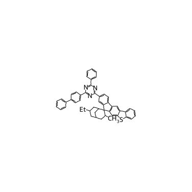 CCC1CC2CC(C)C3(c4cc(-c5nc(-c6ccccc6)nc(-c6ccc(-c7ccccc7)cc6)n5)ccc4-c4cc5c(cc43)sc3ccccc35)C(C1)C2